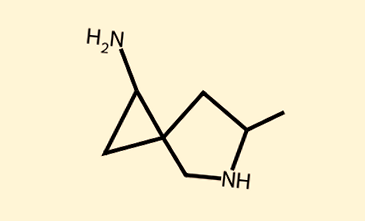 CC1CC2(CN1)CC2N